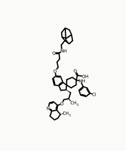 C[C@@H](COc1ccnc2c1[C@H](C)CCC2)C[C@H]1Cc2ccc(OCCCC(=O)NCC3C4CC5CC(C4)CC3C5)cc2C12CCC(Nc1cccc(Cl)c1)(C(=O)O)CC2